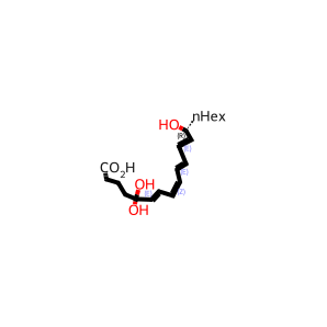 CCCCCC[C@@H](O)/C=C/C=C/C=C\C=C\C(O)(O)CCCC(=O)O